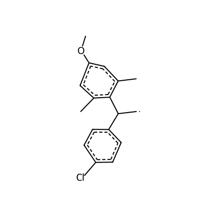 [CH2]C(c1ccc(Cl)cc1)c1c(C)cc(OC)cc1C